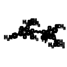 COc1ccc2c(c1)C(=O)N1CC(OCCCCCOc3cc4c(cc3OC)C(=O)N3C=C(c5ccc(N)cc5)C[C@H]3C(=O)N4COCC[Si](C)(C)C)(OS(=O)(=O)C(F)(F)F)C[C@H]1C(=O)N2COCC[Si](C)(C)C